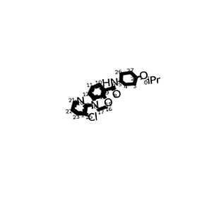 CC(C)O[C@H]1CC[C@H](NC(=O)c2cccc3c2OCCN3c2ncccc2Cl)CC1